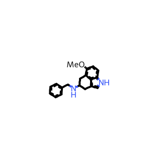 COc1ccc2[nH]cc3c2c1CC(NCc1ccccc1)C3